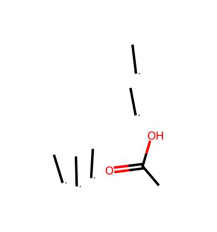 CC(=O)O.[CH2]C.[CH2]C.[CH2]C.[CH2]C.[CH2]C